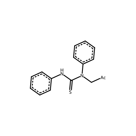 CC(=O)CN(C(=S)Nc1ccccc1)c1ccccc1